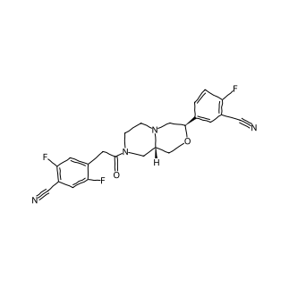 N#Cc1cc([C@@H]2CN3CCN(C(=O)Cc4cc(F)c(C#N)cc4F)C[C@H]3CO2)ccc1F